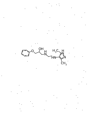 Cc1n[nH]c(C)c1NCCNCC(O)COc1ccccc1